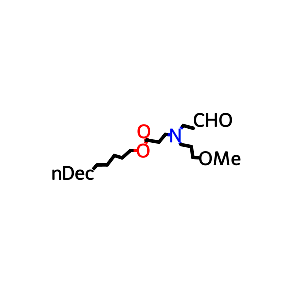 CCCCCCCCCCCCCCCOC(=O)CCN(CCC=O)CCCOC